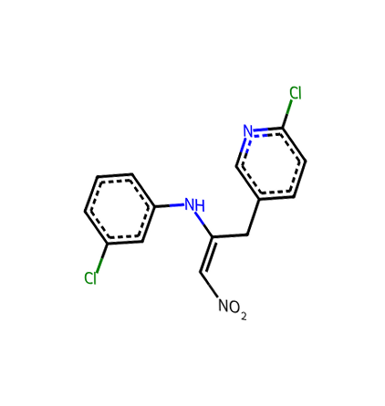 O=[N+]([O-])/C=C(\Cc1ccc(Cl)nc1)Nc1cccc(Cl)c1